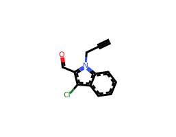 C#CCn1c(C=O)c(Cl)c2ccccc21